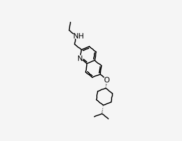 CCNCc1ccc2cc(O[C@H]3CC[C@@H](C(C)C)CC3)ccc2n1